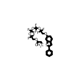 C=CC(=O)OCC(F)(F)OC(F)(F)OC(F)(F)OC(F)(F)COc1ccc2cc(-c3ccccc3)sc2c1